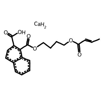 CC=CC(=O)OCCCCOC(=O)c1c(C(=O)O)ccc2ccccc12.[CaH2]